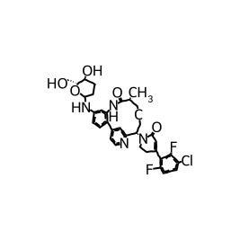 C[C@@H]1CCC[C@H](N2CCC(c3c(F)ccc(Cl)c3F)=CC2=O)c2cc(ccn2)-c2ccc(NC3CC[C@H](O)[C@@H](CO)O3)cc2NC1=O